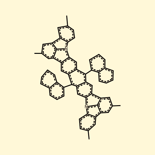 Cc1ccc2c(c1)c1cc(C)cc3c4cc5c(-c6cccc7ccccc67)c6cc7c(cc6c(-c6cccc8ccccc68)c5cc4n2c13)c1cc(C)cc2c3cc(C)ccc3n7c21